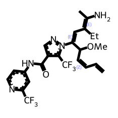 C=C/C=C\C(OC)/C(=C\C(CC)=C(/C)N)n1ncc(C(=O)Nc2ccnc(C(F)(F)F)c2)c1C(F)(F)F